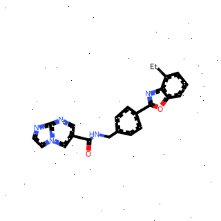 CCc1cccc2oc(-c3ccc(CNC(=O)c4cnc5nccn5c4)cc3)nc12